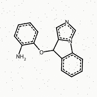 Nc1ccccc1OC1c2ccccc2-n2cncc21